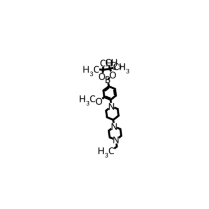 CCN1CCN(C2CCN(c3ccc(B4OC(C)(C)C(C)(C)O4)cc3OC)CC2)CC1